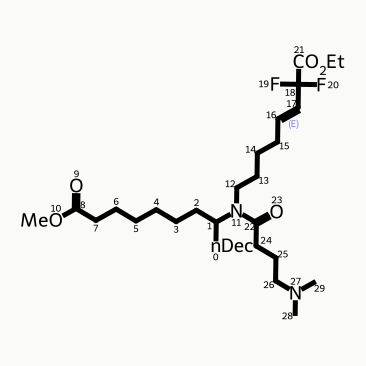 CCCCCCCCCCC(CCCCCCC(=O)OC)N(CCCC/C=C/C(F)(F)C(=O)OCC)C(=O)CCCN(C)C